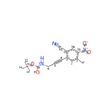 Cc1cc(C#CCNC(=O)OC(C)(C)C)c(C#N)cc1[N+](=O)[O-]